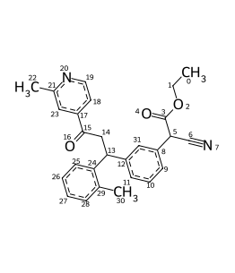 CCOC(=O)C(C#N)c1cccc(C(CC(=O)c2ccnc(C)c2)c2ccccc2C)c1